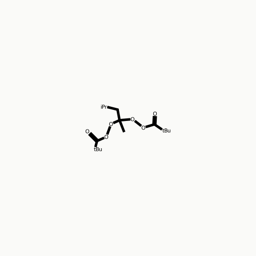 CC(C)CC(C)(OOC(=O)C(C)(C)C)OOC(=O)C(C)(C)C